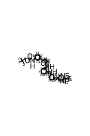 CC(C)(C)COC(=O)Nc1cccc(-c2cnc(N[C@@H]3CCCC[C@H]3N[C@H]3CCCN(c4cnc(C(F)(F)F)nc4)C3)o2)c1